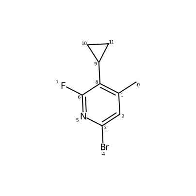 Cc1cc(Br)nc(F)c1C1CC1